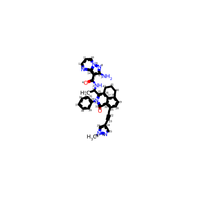 CC(NC(=O)c1c(N)nn2cccnc12)c1c2c3c(ccc(C#Cc4cnn(C)c4)c3c(=O)n1-c1ccccc1)CCC2